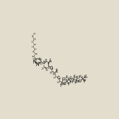 CCCCCCCCCCc1nnc(-c2ccc(OCC(F)COCC(F)(F)OC(F)(F)C(F)(F)OC(F)(F)C(F)(F)OC(F)(F)F)c(F)c2)s1